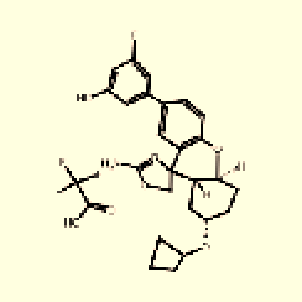 N#Cc1cc(F)cc(-c2ccc3c(c2)C2(COC(N)=N2)[C@H]2C[C@@H](OC4CCC4)CC[C@@H]2O3)c1.O=C(O)C(F)(F)F